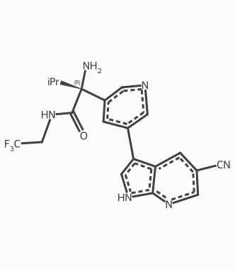 CC(C)[C@](N)(C(=O)NCC(F)(F)F)c1cncc(-c2c[nH]c3ncc(C#N)cc23)c1